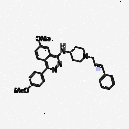 COc1ccc(-c2nnc(NC3CCN(C/C=C/c4ccccc4)CC3)c3cc(OC)ccc23)cc1